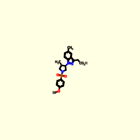 CCOc1ccc(S(=O)(=O)N2C[C@@H](C)[C@@H](n3nc(CC(=O)O)c4cc(C)ccc43)C2)cc1